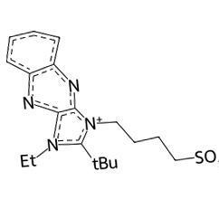 CCn1c(C(C)(C)C)[n+](CCCCS(=O)(=O)O)c2nc3ccccc3nc21